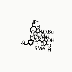 CSC1O[C@H]([C@H](NC(O)[C@@H]2[C@@H]3OCC[C@@H](CC(C)C)C[C@H]3CN2C(=O)OC(C)(C)C)[C@H](C)Sc2ccc(CN(C)C)cc2)C(O)C(O)[C@H]1O